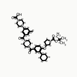 CC(C)(C)OC(=O)N1CCC(Oc2ccc(C(=O)N3CCN(C(=O)c4cc(F)cc(N5CCN(C(=O)O)CC5)c4)CC3)cc2C2CCCCC2)C1